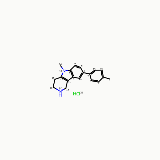 Cc1ccc(-c2ccc3c(c2)c2c(n3C)CCNC2)cc1.Cl